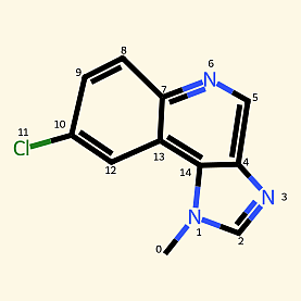 Cn1cnc2cnc3ccc(Cl)cc3c21